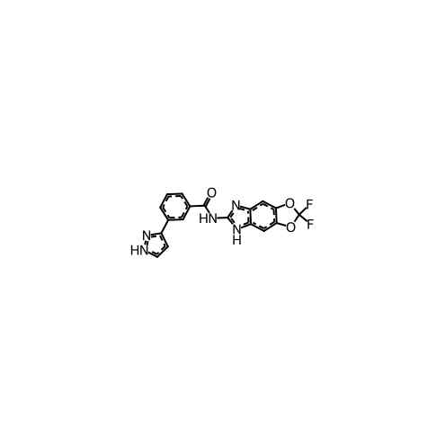 O=C(Nc1nc2cc3c(cc2[nH]1)OC(F)(F)O3)c1cccc(-c2cc[nH]n2)c1